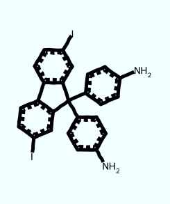 Nc1ccc(C2(c3ccc(N)cc3)c3cc(I)ccc3-c3ccc(I)cc32)cc1